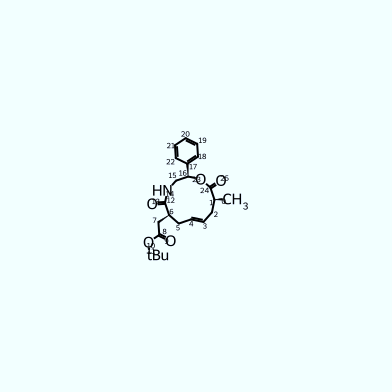 C[C@H]1C/C=C/C[C@@H](CC(=O)OC(C)(C)C)C(=O)NC[C@@H](c2ccccc2)OC1=O